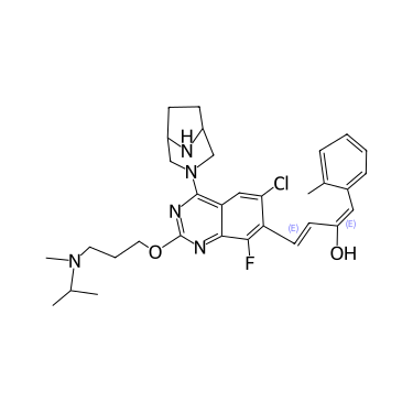 Cc1ccccc1/C=C(O)\C=C\c1c(Cl)cc2c(N3CC4CCC(C3)N4)nc(OCCCN(C)C(C)C)nc2c1F